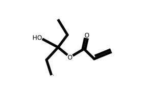 [CH2]CC(O)(CC)OC(=O)C=C